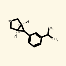 CC(C)c1cccc(C2[C@H]3CNC[C@@H]23)c1